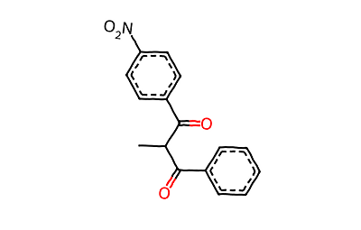 CC(C(=O)c1ccccc1)C(=O)c1ccc([N+](=O)[O-])cc1